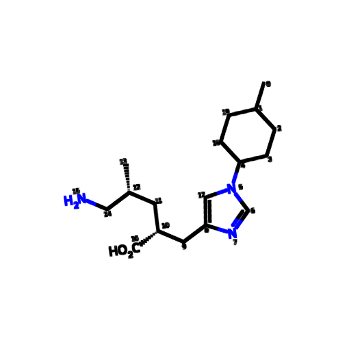 CC1CCC(n2cnc(C[C@@H](C[C@@H](C)CN)C(=O)O)c2)CC1